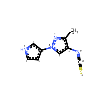 Cc1nn(-c2cc[nH]c2)cc1N=C=S